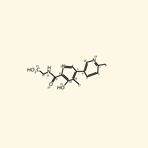 Cc1ccc(-c2cnc(C(=O)NCC(=O)O)c(O)c2C)cn1